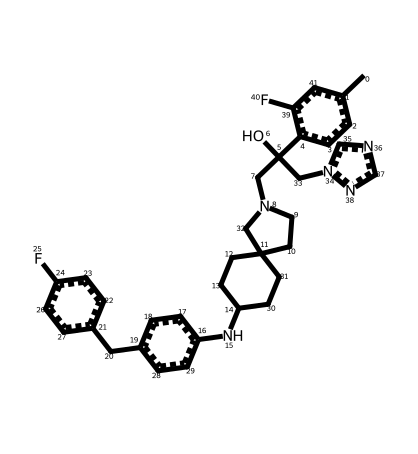 Cc1ccc(C(O)(CN2CCC3(CCC(Nc4ccc(Cc5ccc(F)cc5)cc4)CC3)C2)Cn2cncn2)c(F)c1